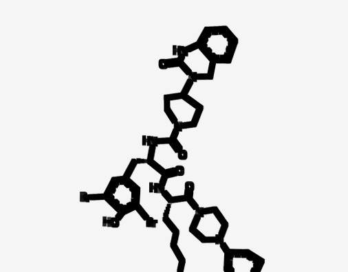 NCCCC[C@H](NC(=O)[C@H](Cc1cc(Br)c(O)c(Br)c1)NC(=O)N1CCC(N2Cc3ccccc3NC2=O)CC1)C(=O)N1CCN(c2ccncc2)CC1